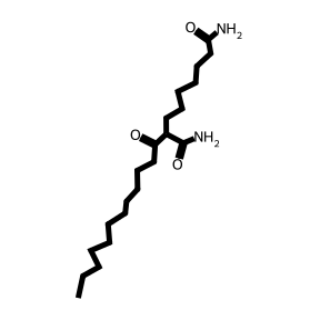 CCCCCCCCCCCC(=O)C(CCCCCCC(N)=O)C(N)=O